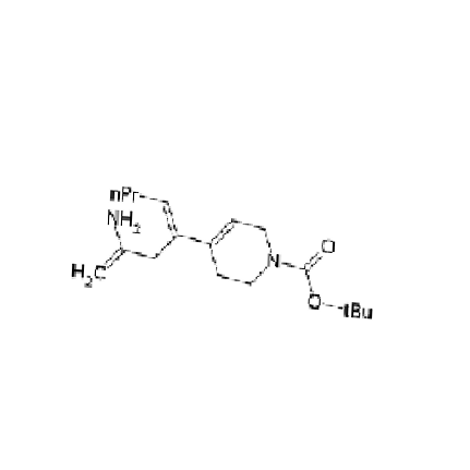 C=C(N)C/C(=C\CCC)C1=CCN(C(=O)OC(C)(C)C)CC1